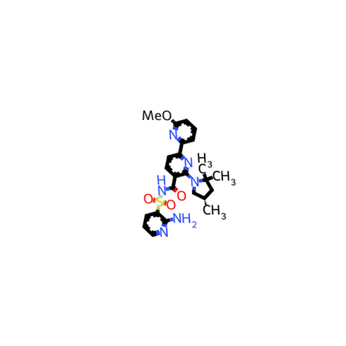 COc1cccc(-c2ccc(C(=O)NS(=O)(=O)c3cccnc3N)c(N3C[C@@H](C)CC3(C)C)n2)n1